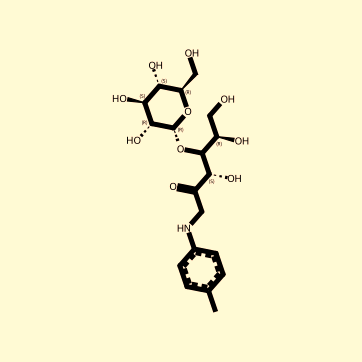 Cc1ccc(NCC(=O)[C@@H](O)C(O[C@H]2O[C@H](CO)[C@@H](O)[C@H](O)[C@H]2O)[C@H](O)CO)cc1